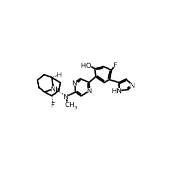 CN(c1cnc(-c2cc(-c3cnc[nH]3)c(F)cc2O)cn1)[C@H]1C[C@@H]2CCCC(N2)[C@H]1F